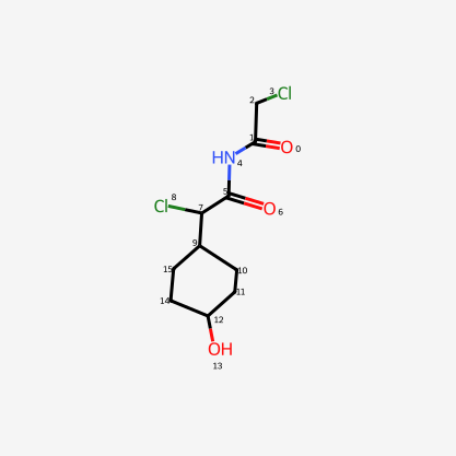 O=C(CCl)NC(=O)C(Cl)C1CCC(O)CC1